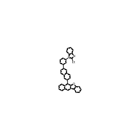 CCc1nc2ccccc2n1-c1cccc(-c2ccc3cc(-c4c5ccccc5cc5c4oc4ccccc45)ccc3c2)c1